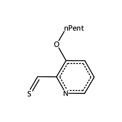 CCCCCOc1cccnc1C=S